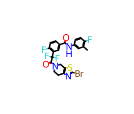 Cc1cc(NC(=O)c2ccc(F)c(C(F)(F)C(=O)N3CCc4nc(Br)sc4C3)c2)ccc1F